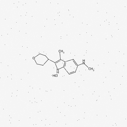 CNc1ccc2[nH]c(C3CCOCC3)c(C)c2c1.Cl